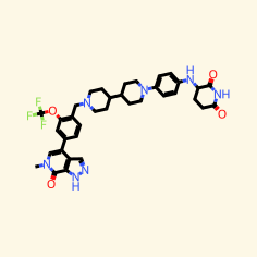 Cn1cc(-c2ccc(CN3CCC(C4CCN(c5ccc(NC6CCC(=O)NC6=O)cc5)CC4)CC3)c(OC(F)(F)F)c2)c2cn[nH]c2c1=O